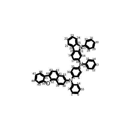 c1ccc(N(c2ccc(N(c3ccccc3)c3ccc4c5ccccc5n(-c5ccccc5)c4c3)cc2)c2ccc3c(ccc4c5ccccc5oc34)c2)cc1